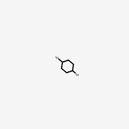 [2H]C1CCC([2H])CC1